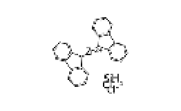 [Cl-].[Cl-].[SiH4].c1ccc2c(c1)-c1ccccc1[CH]2[Zr+2][CH]1c2ccccc2-c2ccccc21